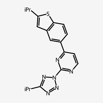 CC(C)c1nnn(-c2nccc(-c3ccc4sc(C(C)C)cc4c3)n2)n1